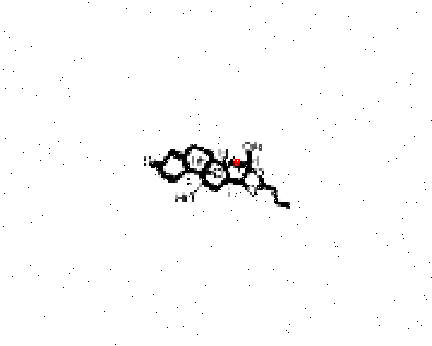 CCCC1O[C@@H]2C[C@H]3[C@@H]4CCC5=CC(=O)C=C[C@]5(C)C4(Cl)[C@@H](O)C[C@]3(C)[C@]2(C(=O)CO)O1